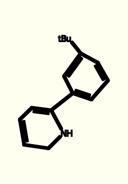 CC(C)(C)c1cccc(C2=CC=CCN2)c1